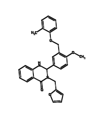 COc1ccc(C2Nc3ccccc3C(=O)N2Cc2ccco2)cc1COc1ccccc1C